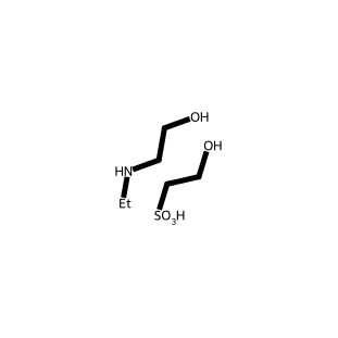 CCNCCO.O=S(=O)(O)CCO